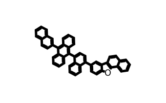 c1ccc2cc(-c3c4ccccc4c(-c4ccc(-c5ccc6oc7c8ccccc8ccc7c6c5)c5ccccc45)c4ccccc34)ccc2c1